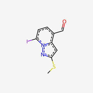 CSc1cc2c(C=O)ccc(I)n2n1